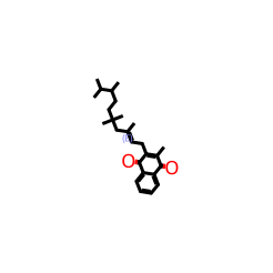 CC1=C(C/C=C(\C)CC(C)(C)CCC(C)C(C)C)C(=O)c2ccccc2C1=O